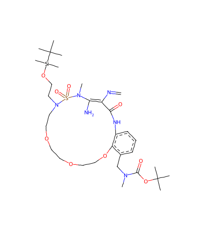 C=N/C1=C(/N)N(C)S(=O)(=O)N(CCO[Si](C)(C)C(C)(C)C)CCOCCOCCOc2c(CN(C)C(=O)OC(C)(C)C)cccc2NC1=O